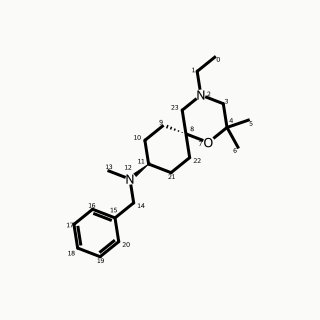 CCN1CC(C)(C)O[C@]2(CC[C@H](N(C)Cc3ccccc3)CC2)C1